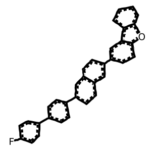 Fc1ccc(-c2ccc(-c3ccc4cc(-c5ccc6oc7ccccc7c6c5)ccc4c3)cc2)cc1